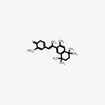 C/C(=C\C1=CCC(=S)C(C(=O)O)=C1)c1cc2c(cc1C)C(C)(C)CCC2(C)C